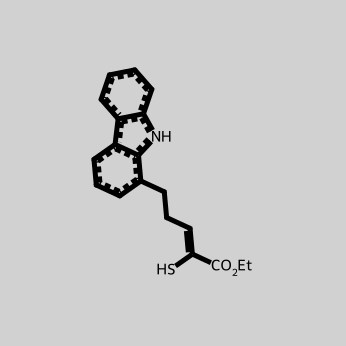 CCOC(=O)C(S)=CCCc1cccc2c1[nH]c1ccccc12